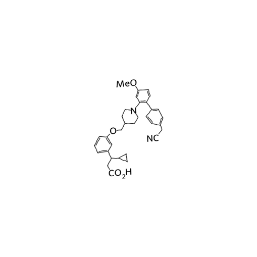 COc1ccc(-c2ccc(CC#N)cc2)c(N2CCC(COc3cccc(C(CC(=O)O)C4CC4)c3)CC2)c1